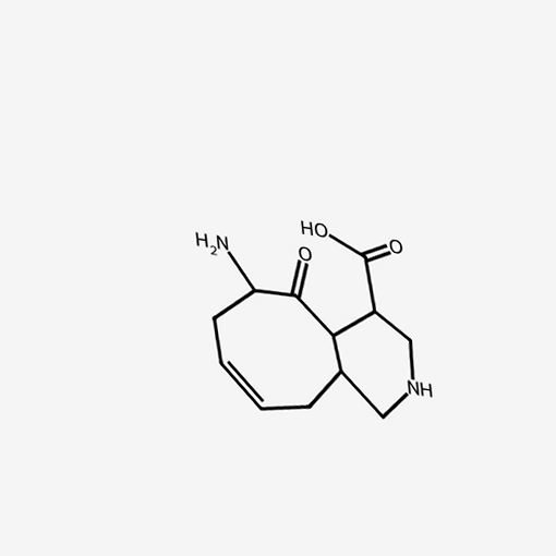 NC1CC=CCC2CNCC(C(=O)O)C2C1=O